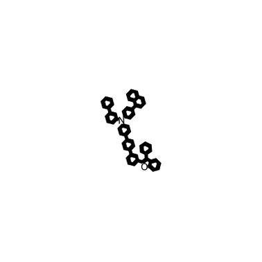 c1ccc(-c2cccc(N(c3ccc(-c4ccc(-c5cccc(-c6oc7ccccc7c6-c6ccccc6)c5)cc4)cc3)c3ccc(-c4cccc5ccccc45)cc3)c2)cc1